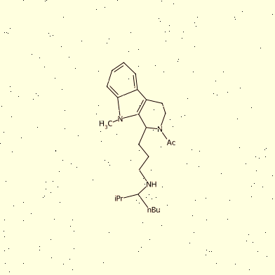 CCCCC(NCCCC1c2c(c3ccccc3n2C)CCN1C(C)=O)C(C)C